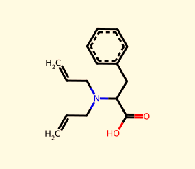 C=CCN(CC=C)C(Cc1ccccc1)C(=O)O